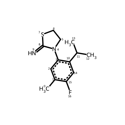 Cc1cc(N2CCSC2=N)c(C(C)C)cc1F